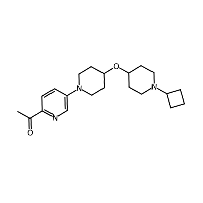 CC(=O)c1ccc(N2CCC(OC3CCN(C4CCC4)CC3)CC2)cn1